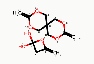 C=C1CC(O)(O)O1.C=C1OCC2(CO1)COC(=C)OC2